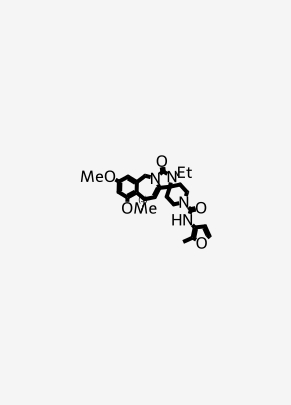 CCN1C(=O)N2Cc3cc(OC)cc(OC)c3[C@@H](C)C=C2C12CCN(C(=O)Nc1ccoc1C)CC2